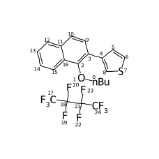 CCCCOc1c(-c2ccsc2)ccc2ccccc12.FC(F)(F)C(F)(F)C(F)(F)C(F)(F)F